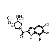 CO[C@H]1CN(C(=O)c2cc3cc(Cl)c(F)c(F)c3[nH]2)C[C@@H]1N